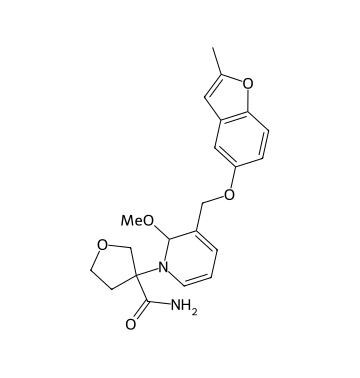 COC1C(COc2ccc3oc(C)cc3c2)=CC=CN1C1(C(N)=O)CCOC1